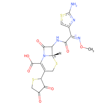 CO/N=C(\C(=O)NC1C(=O)N2C(C(=O)O)=C(C3SCC(=O)C3=O)CS[C@@H]12)c1csc(N)n1